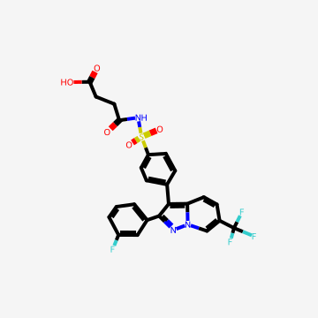 O=C(O)CCC(=O)NS(=O)(=O)c1ccc(-c2c(-c3cccc(F)c3)nn3cc(C(F)(F)F)ccc23)cc1